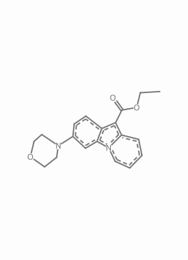 CCOC(=O)c1c2ccc(N3CCOCC3)cc2n2ccccc12